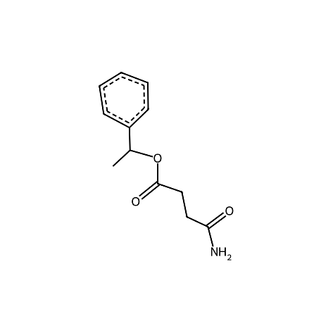 CC(OC(=O)CCC(N)=O)c1ccccc1